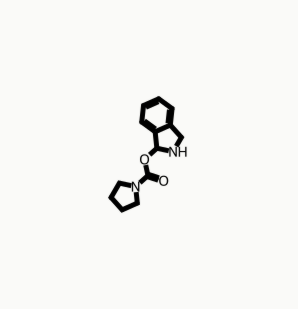 O=C(OC1NCc2ccccc21)N1CCCC1